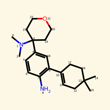 CN(C)C1(c2ccc(N)c(C3=CCC(C)(C)CC3)c2)CCOCC1